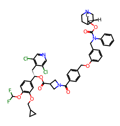 O=C(O[C@@H](Cc1c(Cl)cncc1Cl)c1ccc(OC(F)F)c(OCC2CC2)c1)C1CN(C(=O)c2ccc(COc3cccc(CN(C(=O)O[C@H]4CN5CCC4CC5)c4ccccc4)c3)cc2)C1